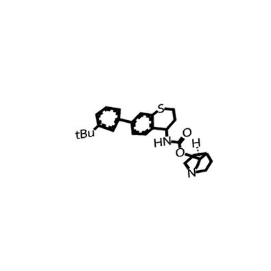 CC(C)(C)c1cccc(-c2ccc3c(c2)SCCC3NC(=O)O[C@@H]2CN3CCC2CC3)c1